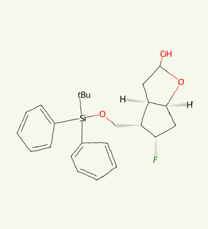 CC(C)(C)[Si](OC[C@@H]1[C@H]2CC(O)O[C@H]2C[C@@H]1F)(c1ccccc1)c1ccccc1